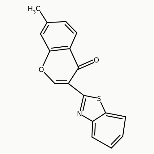 Cc1ccc2c(=O)c(-c3nc4ccccc4s3)coc2c1